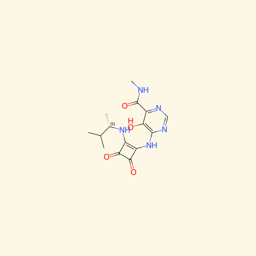 CNC(=O)c1ncnc(Nc2c(N[C@@H](C)C(C)C)c(=O)c2=O)c1O